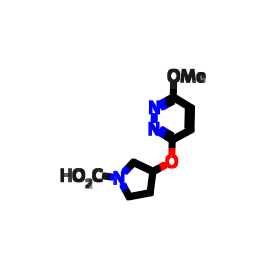 COc1ccc(OC2CCN(C(=O)O)C2)nn1